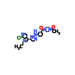 CCCn1cc(-c2ccnc(Nc3cccc(C(=O)N4CCN(C(C)=O)CC4)c3)n2)c2ccnc(Cl)c21